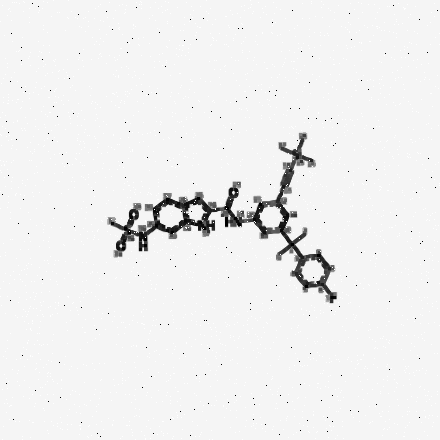 CC(C)(c1ccc(F)cc1)c1cc(C#C[Si](C)(C)C)cc(NC(=O)c2cc3ccc(NS(C)(=O)=O)cc3[nH]2)c1